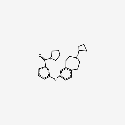 O=C(c1cccc(Oc2ccc3c(c2)CCN(C2CCC2)CC3)c1)N1CCCC1